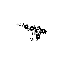 CCCCn1cc(-c2ccc(Cl)cc2Cl)nc1[C@H](Cc1ccc(Oc2ccc(C(=O)O)cc2)cc1)NC(=O)Nc1cccc(OC)c1